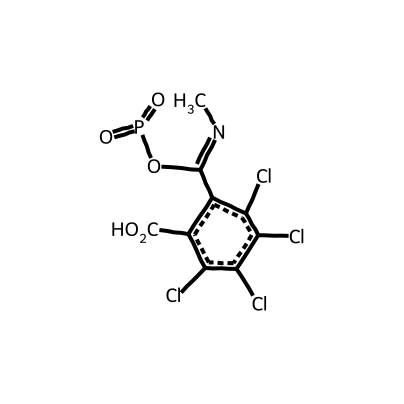 CN=C(OP(=O)=O)c1c(Cl)c(Cl)c(Cl)c(Cl)c1C(=O)O